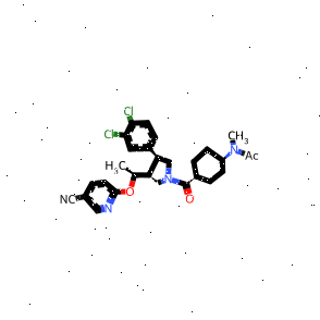 CC(=O)N(C)[C@H]1CC[C@H](C(=O)N2C[C@H]([C@H](C)Oc3ccc(C#N)cn3)[C@@H](c3ccc(Cl)c(Cl)c3)C2)CC1